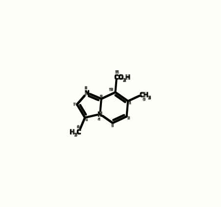 Cc1ccn2c(C)cnc2c1C(=O)O